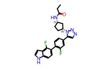 CCC(=O)N[C@H]1CC[C@@H](n2nncc2-c2ccc(-c3ccc4[nH]ccc4c3F)c(F)c2)C1